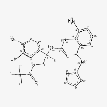 CC(C)(C)C(=O)OCC(C)(NC(=S)Nc1c(N)cccc1CNc1ncco1)c1ccc(Cl)c(F)c1